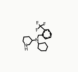 FC(F)(F)c1ccccc1CN(C1CCCCC1)C1CCCNC1